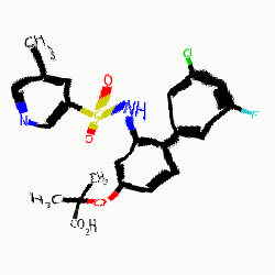 Cc1cncc(S(=O)(=O)Nc2cc(OC(C)(C)C(=O)O)ccc2-c2cc(F)cc(Cl)c2)c1